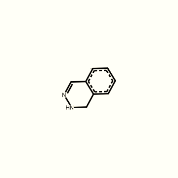 [c]1cccc2c1C=NNC2